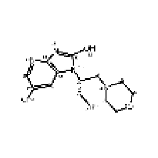 CC(C)C[C@@H](CN1CCOCC1)n1c(O)nc2ncc(Cl)cc21